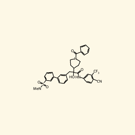 CNS(=O)(=O)c1cccc(-c2cccc(CC(O)(C(=O)Nc3ccc(C#N)c(C(F)(F)F)c3)C3CCN(C(=O)c4ccccc4)CC3)c2)c1